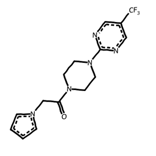 O=C(Cn1cccc1)N1CCN(c2ncc(C(F)(F)F)cn2)CC1